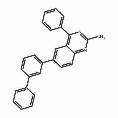 Cc1nc(-c2ccccc2)c2cc(-c3cccc(-c4ccccc4)c3)ccc2n1